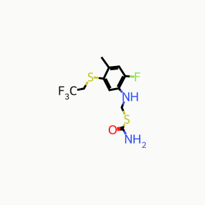 Cc1cc(F)c(NCSC(N)=O)cc1SCC(F)(F)F